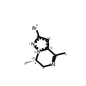 CC1=NC[C@H](C)n2nc(Br)cc21